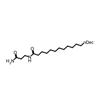 CCCCCCCCCCCCCCCCCCCCCC(=O)NCCC(N)=O